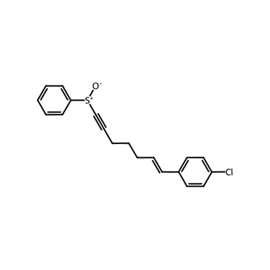 [O-][S+](C#CCCCC=Cc1ccc(Cl)cc1)c1ccccc1